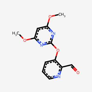 COc1cc(OC)nc(Oc2cccnc2C=O)n1